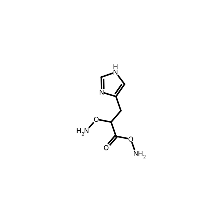 NOC(=O)C(Cc1c[nH]cn1)ON